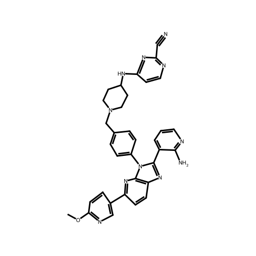 COc1ccc(-c2ccc3nc(-c4cccnc4N)n(-c4ccc(CN5CCC(Nc6ccnc(C#N)n6)CC5)cc4)c3n2)cn1